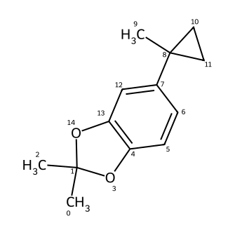 CC1(C)Oc2ccc(C3(C)CC3)cc2O1